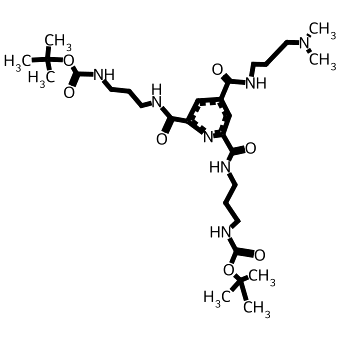 CN(C)CCCNC(=O)c1cc(C(=O)NCCCNC(=O)OC(C)(C)C)nc(C(=O)NCCCNC(=O)OC(C)(C)C)c1